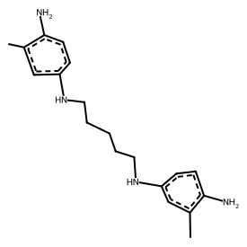 Cc1cc(NCCCCCNc2ccc(N)c(C)c2)ccc1N